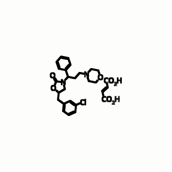 O=C(O)/C=C/C(=O)O.O=C1OC(Cc2cccc(Cl)c2)CN1C(CCN1CCOCC1)c1ccccc1